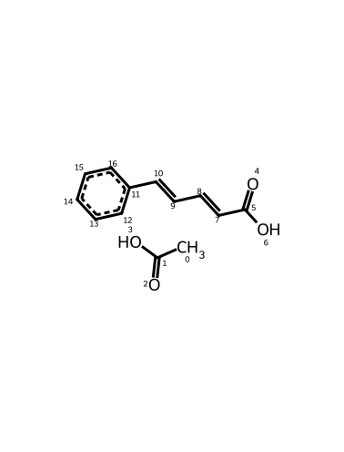 CC(=O)O.O=C(O)C=CC=Cc1ccccc1